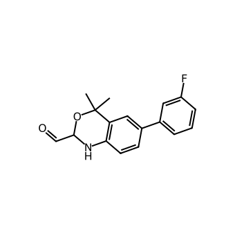 CC1(C)OC(C=O)Nc2ccc(-c3cccc(F)c3)cc21